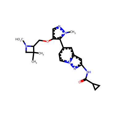 Cn1ncc(OCC2N(C(=O)O)CC2(C)C)c1-c1ccn2nc(NC(=O)C3CC3)cc2c1